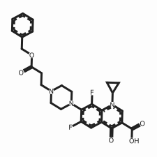 O=C(CCN1CCN(c2c(F)cc3c(=O)c(C(=O)O)cn(C4CC4)c3c2F)CC1)OCc1ccccc1